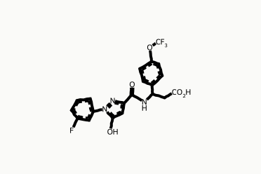 O=C(O)CC(NC(=O)c1cc(O)n(-c2cccc(F)c2)n1)c1ccc(OC(F)(F)F)cc1